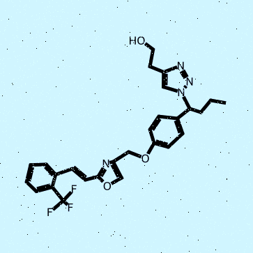 CCCC(c1ccc(OCc2coc(C=Cc3ccccc3C(F)(F)F)n2)cc1)n1cc(CCO)nn1